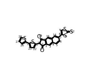 O=C1c2cc3ccc(-c4csc(=S)s4)cc3cc2C(=O)C1c1ccc(-c2cccs2)s1